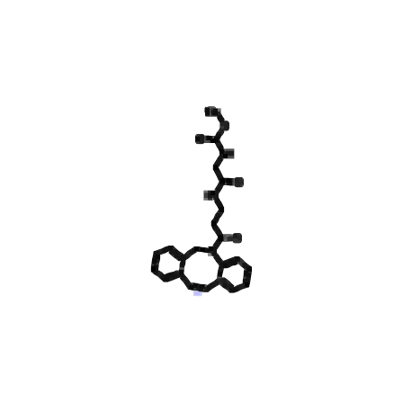 CC(C)(C)OC(=O)NCC(=O)NCCC(=O)N1Cc2ccccc2/C=C\c2ccccc21